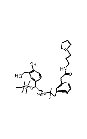 CC(C)(Cc1cccc(CC(=O)NCCCN2CCCC2)c1)NC[C@@H](O[Si](C)(C)C(C)(C)C)c1ccc(O)c(CO)c1